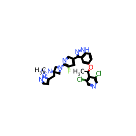 C[C@@H](Oc1ccc2[nH]nc(-c3cnc(N4CC(N)(Cc5ccnn5C)C4)c(F)c3)c2c1)c1c(Cl)cncc1Cl